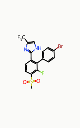 CS(=O)(=O)c1ccc(-c2nc(C(F)(F)F)c[nH]2)c(-c2ccc(Br)cc2)c1F